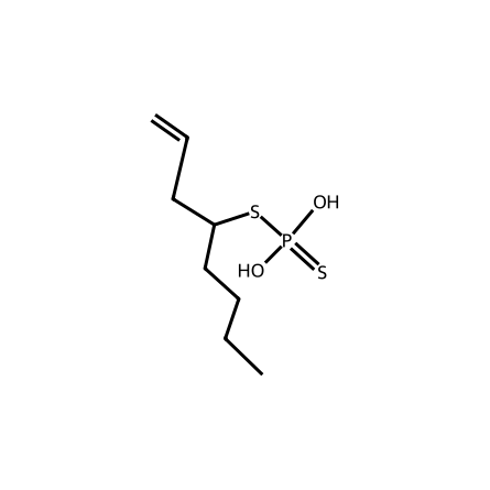 C=CCC(CCCC)SP(O)(O)=S